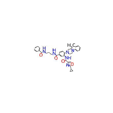 Cc1ccccc1N1CCN(c2ccc(C(=O)NCCCNC(=O)c3ccccc3)cc2NC(=O)c2coc(C3CC3)n2)CC1